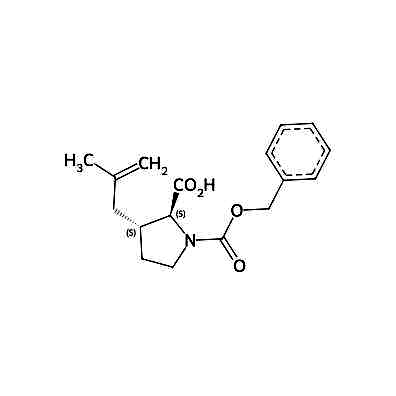 C=C(C)C[C@H]1CCN(C(=O)OCc2ccccc2)[C@@H]1C(=O)O